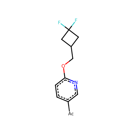 CC(=O)c1ccc(OCC2CC(F)(F)C2)nc1